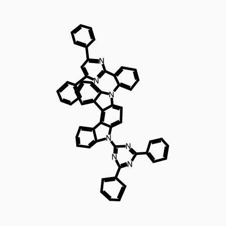 c1ccc(-c2cc(-c3ccccc3)nc(-c3ccccc3-n3c4ccccc4c4c5c6ccccc6n(-c6nc(-c7ccccc7)nc(-c7ccccc7)n6)c5ccc43)n2)cc1